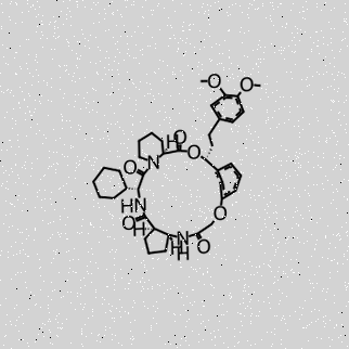 COc1ccc(CC[C@H]2OC(=O)[C@@H]3CCCCN3C(=O)[C@@H](C3CCCCC3)NC(=O)[C@@H]3CCC[C@H]3NC(=O)COc3cccc2c3)cc1OC